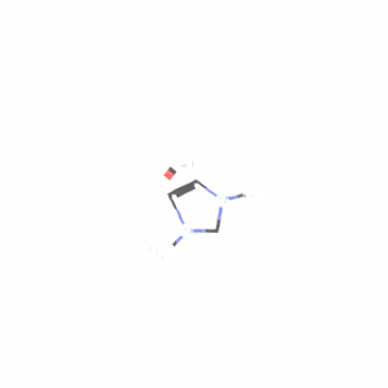 CCCCN1C=CN(C)C1.[O]=[AlH]